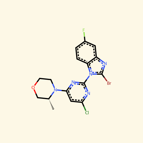 C[C@@H]1COCCN1c1cc(Cl)nc(-n2c(Br)nc3cc(F)ccc32)n1